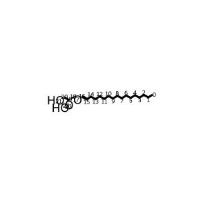 CCCCCCCCCCCCCCCC=COC[C@H](CO)OO